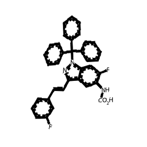 O=C(O)Nc1cc2c(C=Cc3cccc(F)c3)nn(C(c3ccccc3)(c3ccccc3)c3ccccc3)c2cc1F